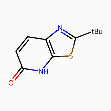 CC(C)(C)c1nc2ccc(=O)[nH]c2s1